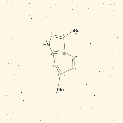 CCC(C)c1c[nH]c2cc(C(C)(C)C)ccc12